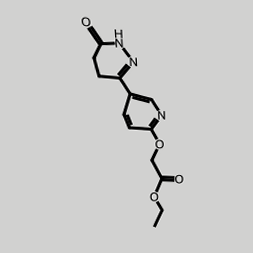 CCOC(=O)COc1ccc(C2=NNC(=O)CC2)cn1